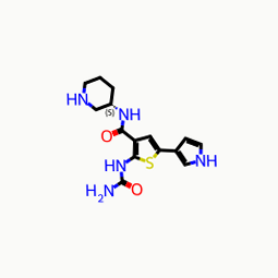 NC(=O)Nc1sc(-c2cc[nH]c2)cc1C(=O)N[C@H]1CCCNC1